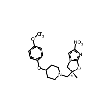 C[C@@]1(CN2CCC(Oc3ccc(OC(F)(F)F)cc3)CC2)Cn2cc([N+](=O)[O-])nc2O1